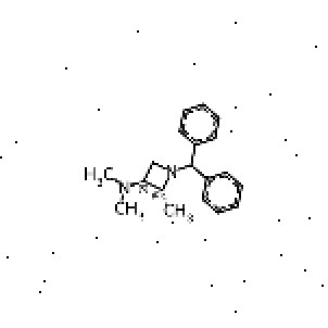 C[C@@H]1[C@@H](N(C)C)CN1C(c1ccccc1)c1ccccc1